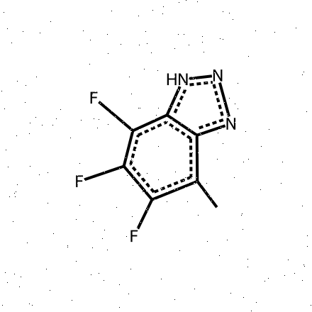 Cc1c(F)c(F)c(F)c2[nH]nnc12